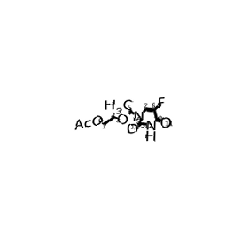 CC(=O)OCCOC(C)n1cc(F)c(=O)[nH]c1=O